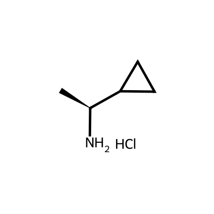 C[C@H](N)C1CC1.Cl